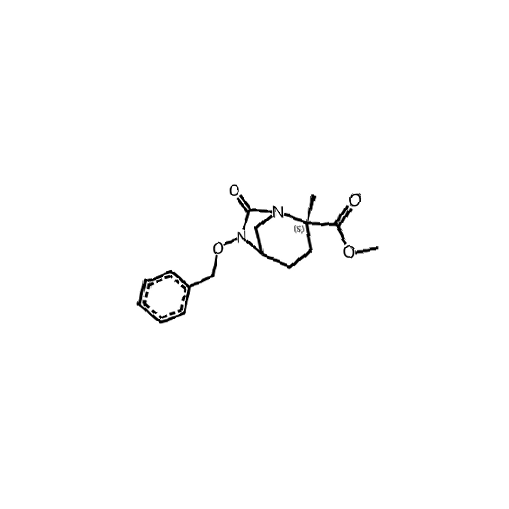 COC(=O)[C@]1(C)CCC2CN1C(=O)N2OCc1ccccc1